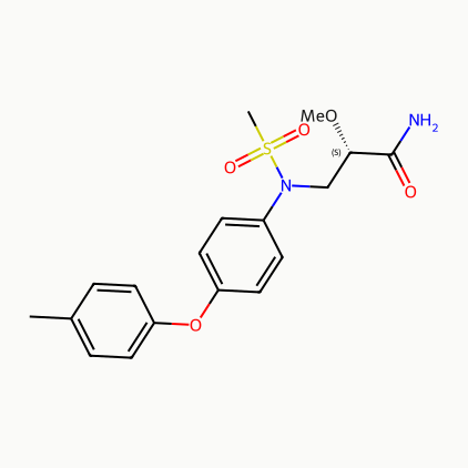 CO[C@@H](CN(c1ccc(Oc2ccc(C)cc2)cc1)S(C)(=O)=O)C(N)=O